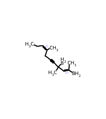 B/C(C)=C/C(B)(C)C#CC/C(C)=C\CC